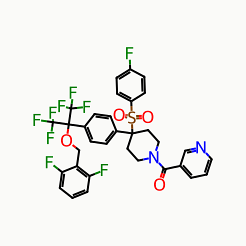 O=C(c1cccnc1)N1CCC(c2ccc(C(OCc3c(F)cccc3F)(C(F)(F)F)C(F)(F)F)cc2)(S(=O)(=O)c2ccc(F)cc2)CC1